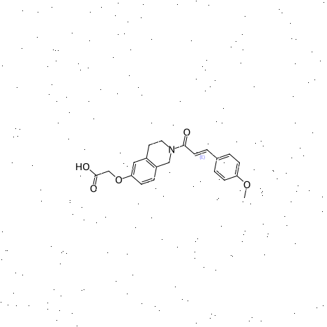 COc1ccc(/C=C/C(=O)N2CCc3cc(OCC(=O)O)ccc3C2)cc1